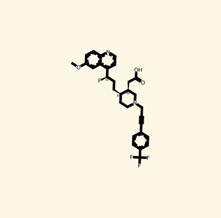 COc1ccc2nccc([C@H](F)CC[C@@H]3CCN(CC#Cc4ccc(C(F)(F)F)cc4)C[C@@H]3CC(=O)O)c2c1